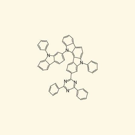 c1ccc(-c2nc(-c3ccccc3)nc(-c3ccc4c5c(ccc6c7ccccc7n(-c7ccc8c9ccccc9n(-c9ccccc9)c8c7)c65)n(-c5ccccc5)c4c3)n2)cc1